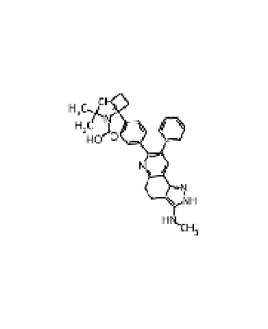 CNc1[nH]nc2c1CCc1nc(-c3ccc(C4(N(C(=O)O)C(C)(C)C)CCC4)cc3)c(-c3ccccc3)cc1-2